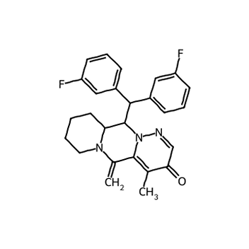 C=C1c2c(C)c(=O)cnn2C(C(c2cccc(F)c2)c2cccc(F)c2)C2CCCCN12